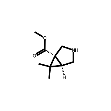 COC(=O)[C@]12CNC[C@H]1C2(C)C